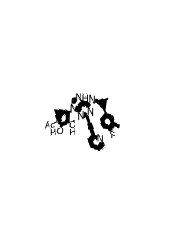 CC(=O)[C@]12CC1[C@@H](n1cnc3c(NC4C[C@H]4c4ccc(F)c(C)c4)nc(C#Cc4ccccn4)nc31)[C@H](O)C2O